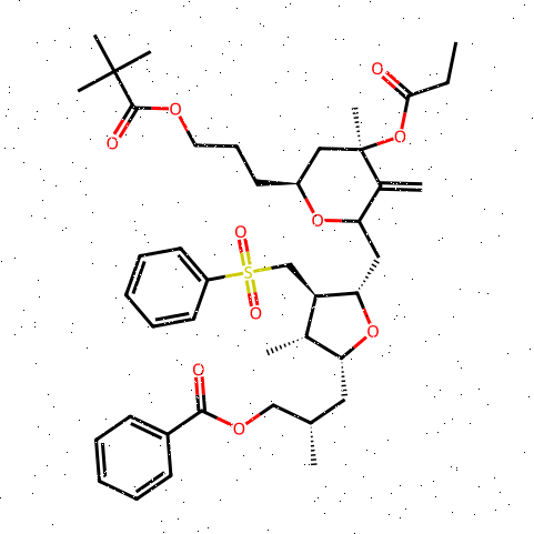 C=C1C(C[C@@H]2O[C@H](C[C@H](C)COC(=O)c3ccccc3)[C@H](C)[C@H]2CS(=O)(=O)c2ccccc2)O[C@@H](CCCOC(=O)C(C)(C)C)C[C@@]1(C)OC(=O)CC